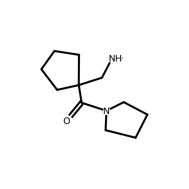 [NH]CC1(C(=O)N2CCCC2)CCCC1